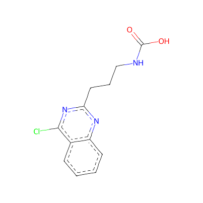 O=C(O)NCCCc1nc(Cl)c2ccccc2n1